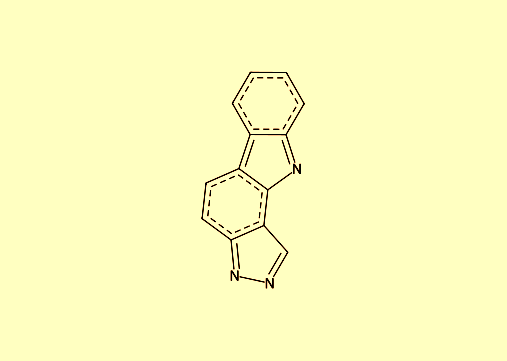 C1=NN=c2ccc3c(c21)N=c1ccccc1=3